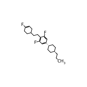 CCC[C@H]1CC[C@H](c2cc(F)c(CCC3CC=C(F)CC3)c(F)c2)CC1